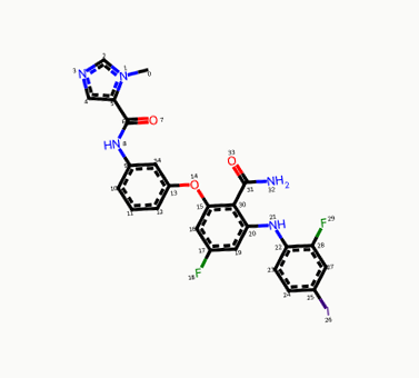 Cn1cncc1C(=O)Nc1cccc(Oc2cc(F)cc(Nc3ccc(I)cc3F)c2C(N)=O)c1